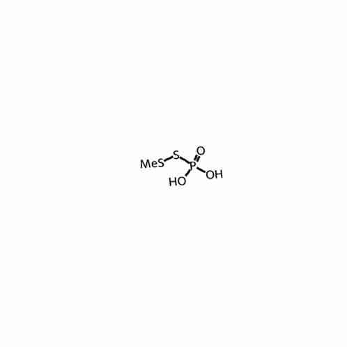 CSSP(=O)(O)O